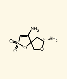 B[C@H]1CC2(CO1)OS(=O)(=O)C=C2N